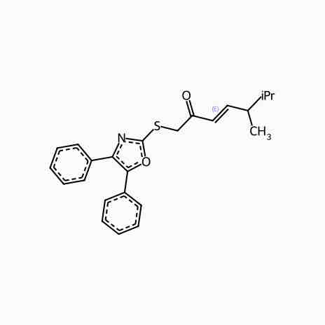 CC(C)C(C)/C=C/C(=O)CSc1nc(-c2ccccc2)c(-c2ccccc2)o1